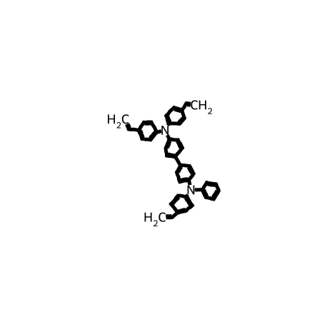 C=Cc1ccc(N(c2ccccc2)c2ccc(-c3ccc(N(c4ccc(C=C)cc4)c4ccc(C=C)cc4)cc3)cc2)cc1